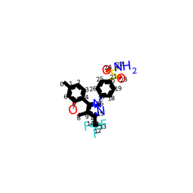 Cc1ccc2c(c1)OCc1c(C(F)(F)F)nn(-c3ccc(S(N)(=O)=O)cc3)c1-2